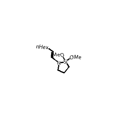 CCCCCCC=CN1CCC[Si]1(OC)OC